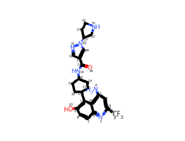 Nc1cc(C(F)(F)F)nc2ccc(O)c(C3CCC(NC(=O)c4cnn([C@H]5CCNC5)c4)CC3)c12